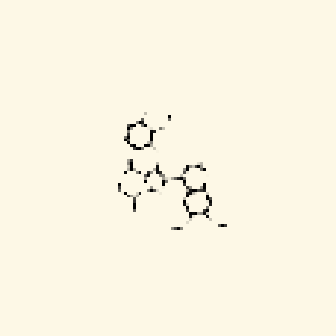 COc1cc2nccc(-c3nn4c(c3Nc3cccc(Cl)c3OC)C(=O)NCC4C)c2cc1OC